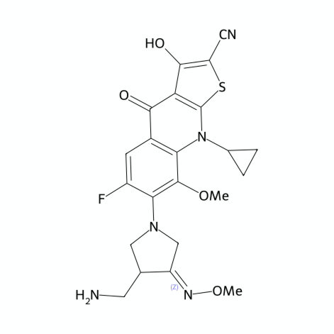 CO/N=C1\CN(c2c(F)cc3c(=O)c4c(O)c(C#N)sc4n(C4CC4)c3c2OC)CC1CN